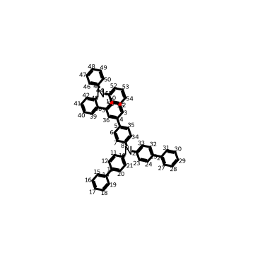 Cc1ccc(-c2ccc(N(c3ccc(-c4ccccc4)cc3)c3ccc(-c4ccccc4)cc3)cc2)cc1-c1ccccc1N(c1ccccc1)c1ccccc1